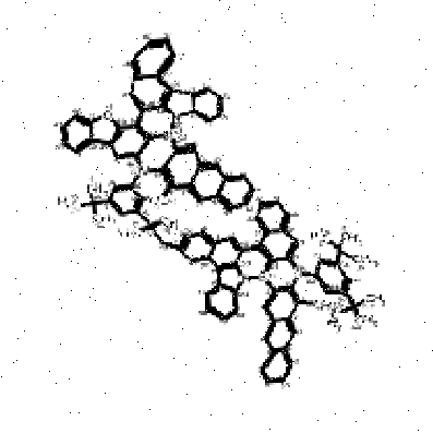 Cc1c2c(cc3cc4ccccc4cc13)B1c3c(cc4ccccc4c3-c3cc4ccc(CC(C)(C)c5cc(N6c7cc8c(oc9ccccc98)c8c7B(c7cc9cc%10ccccc%10cc9c(C)c76)n6c7ccccc7c7c9ccccc9cc-8c76)cc(C(C)(C)C)c5)cc4c4c5ccccc5n1c34)N2c1cc(C(C)(C)C)cc(C(C)(C)C)c1